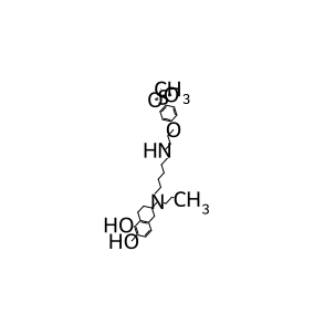 CCCN(CCCCCCNCCOc1ccc(S(C)(=O)=O)cc1)C1CCc2c(ccc(O)c2O)C1